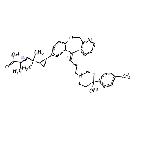 C/C(=C\C(C)(C)C1CC1c1ccc2c(c1)/C(=C/CCN1CCC(O)(c3ccc(C)cc3)CC1)c1cccnc1CO2)C(=O)O